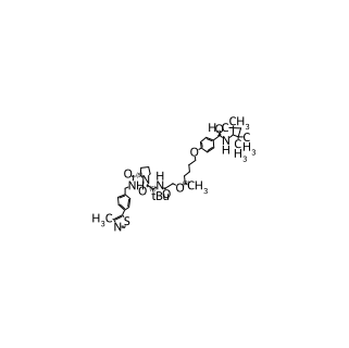 Cc1ncsc1-c1ccc(CNC(=O)[C@@H]2CCCN2C(=O)[C@@H](NC(=O)CO[C@H](C)CCCCOc2ccc(C(=O)NC3C(C)(C)CC3(C)C)cc2)C(C)(C)C)cc1